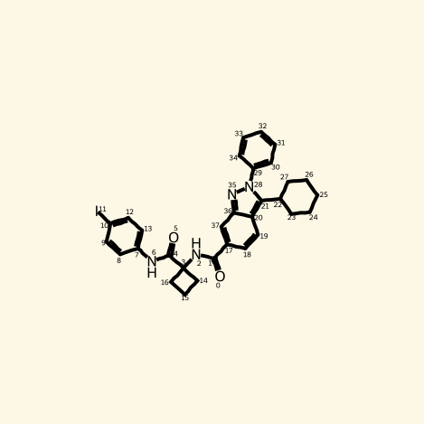 O=C(NC1(C(=O)Nc2ccc(I)cc2)CCC1)c1ccc2c(C3CCCCC3)n(-c3ccccc3)nc2c1